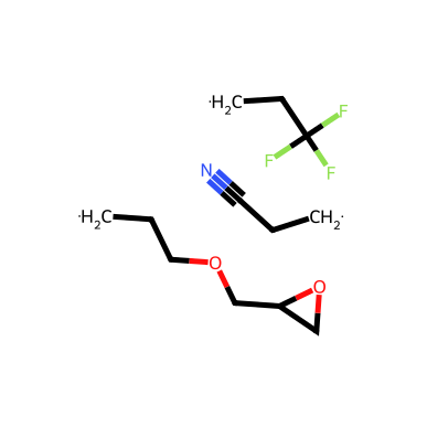 [CH2]CC#N.[CH2]CC(F)(F)F.[CH2]CCOCC1CO1